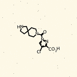 O=C(O)c1nn(C(=O)N2CCC3(CCNC3)CC2)cc1Cl